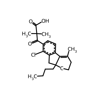 CCCCC12CCCC(C)=C1c1ccc(C(=O)C(C)(C)C(=O)O)c(Cl)c1C2